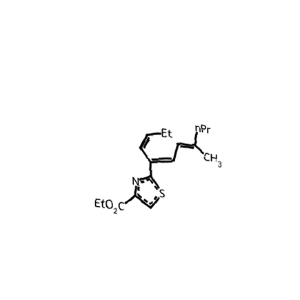 CC\C=C/C(=C\C=C(/C)CCC)c1nc(C(=O)OCC)cs1